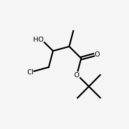 CC(C(=O)OC(C)(C)C)C(O)CCl